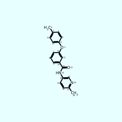 Cc1ccc(Oc2cccc(C(=O)Nc3ccc(C)nc3)c2)cc1